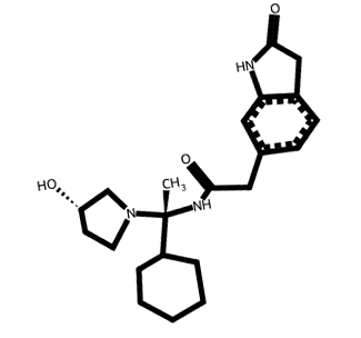 C[C@@](NC(=O)Cc1ccc2c(c1)NC(=O)C2)(C1CCCCC1)N1CC[C@H](O)C1